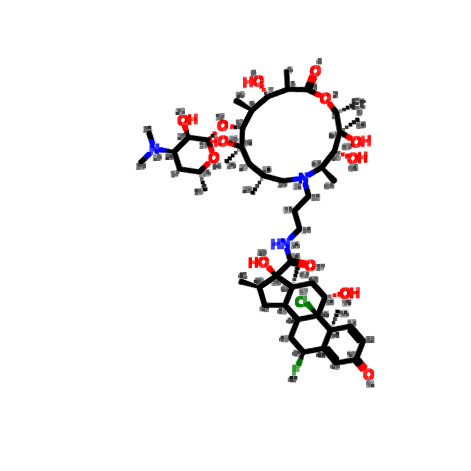 CC[C@H]1OC(=O)C(C)[C@@H](O)[C@H](C)[C@@H](O[C@@H]2O[C@H](C)C[C@@H](N(C)C)[C@H]2O)[C@](C)(O)C[C@@H](C)CN(CCCNC(=O)[C@@]2(O)[C@H](C)CC3C4C[C@H](F)C5=CC(=O)C=C[C@]5(C)[C@@]4(Cl)[C@@H](O)C[C@@]32C)[C@H](C)[C@@H](O)[C@]1(C)O